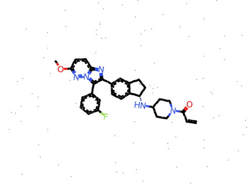 C=CC(=O)N1CCC(N[C@H]2CCc3cc(-c4nc5ccc(OC)nn5c4-c4cccc(F)c4)ccc32)CC1